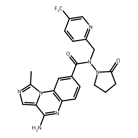 Cc1ncc2c(N)nc3ccc(C(=O)N(Cc4ccc(C(F)(F)F)cn4)N4CCCC4=O)cc3n12